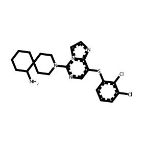 NC1CCCCC12CCN(c1ncc(Sc3cccc(Cl)c3Cl)c3nccn13)CC2